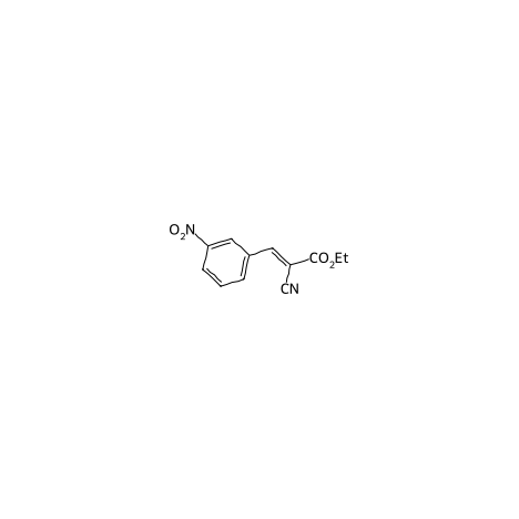 CCOC(=O)C(C#N)=Cc1cccc([N+](=O)[O-])c1